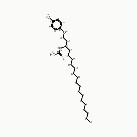 CCCCCCCCCCCCCCCCCC(CCOc1ccc(O)cc1)NC(=O)O